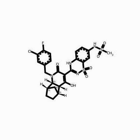 CS(=O)(=O)Nc1ccc2c(c1)S(=O)(=O)N=C(C1=C(O)[C@@H]3[C@@H]4CC[C@@H](C4)[C@@H]3N(Cc3ccc(F)c(Cl)c3)C1=O)N2